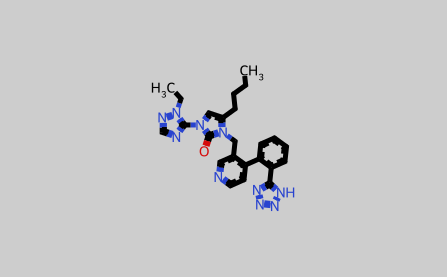 CCCCc1cn(-c2ncnn2CC)c(=O)n1Cc1cnccc1-c1ccccc1-c1nnn[nH]1